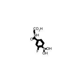 O=C(O)CNC(=O)c1ccc(B(O)O)c(F)c1